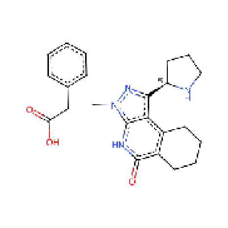 Cn1nc([C@H]2CCCN2)c2c3c(c(=O)[nH]c21)CCCC3.O=C(O)Cc1ccccc1